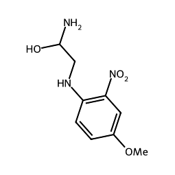 COc1ccc(NCC(N)O)c([N+](=O)[O-])c1